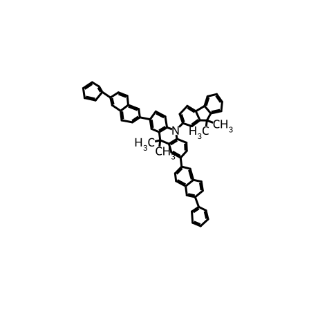 CC1(C)c2ccccc2-c2ccc(N3c4ccc(-c5ccc6cc(-c7ccccc7)ccc6c5)cc4C(C)(C)c4cc(-c5ccc6cc(-c7ccccc7)ccc6c5)ccc43)cc21